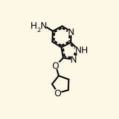 Nc1cnc2[nH]nc(OC3CCOC3)c2c1